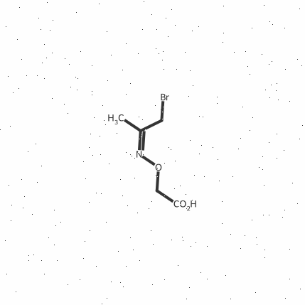 CC(CBr)=NOCC(=O)O